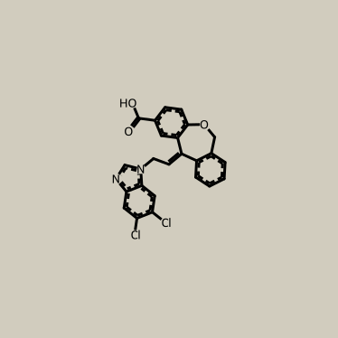 O=C(O)c1ccc2c(c1)C(=CCn1cnc3cc(Cl)c(Cl)cc31)c1ccccc1CO2